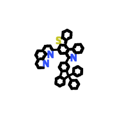 c1ccc(C2(c3ccccc3)c3ccccc3-c3ccc(-c4nc5ccccc5c5c4cc(-c4ccc6ccc7cccnc7c6n4)c4sc6ccccc6c45)cc32)cc1